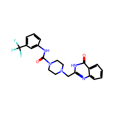 O=C(Nc1cccc(C(F)(F)F)c1)N1CCN(Cc2nc3ccccc3c(=O)[nH]2)CC1